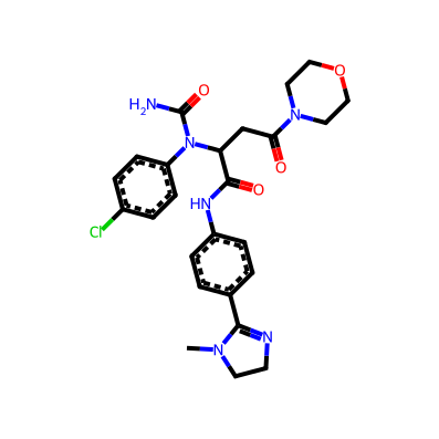 CN1CCN=C1c1ccc(NC(=O)C(CC(=O)N2CCOCC2)N(C(N)=O)c2ccc(Cl)cc2)cc1